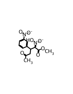 COC(=O)C(C(CC(C)=O)c1cccc([N+](=O)[O-])c1)=[N+]([O-])O